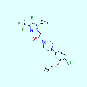 COc1cc(N2CCN(C(=O)Cn3nc(C(F)(F)F)c(F)c3C)CC2)ccc1Cl